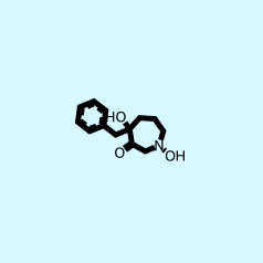 O=C1CN(O)CCCC1(O)Cc1ccccc1